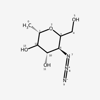 C[C@@H]1OC(CO)[C@@H](N=[N+]=[N-])[C@H](O)C1O